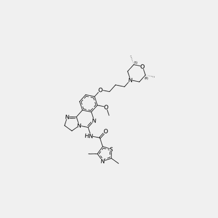 COc1c(OCCCN2C[C@@H](C)O[C@@H](C)C2)ccc2c1N=C(NC(=O)c1sc(C)nc1C)N1CCN=C21